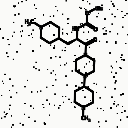 CN1CCC(C[C@@H](NC(=O)OC(C)(C)C)C(=O)N2CCN(C3CCN(C)CC3)CC2)CC1